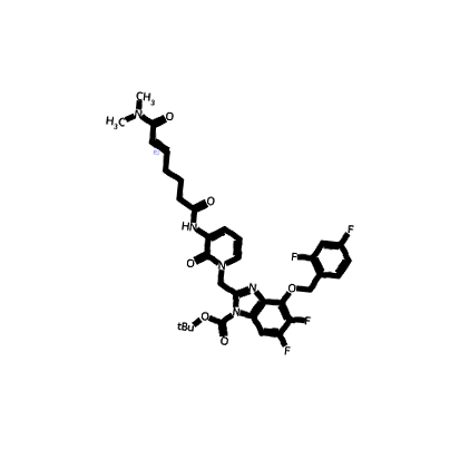 CN(C)C(=O)/C=C/CCCC(=O)Nc1cccn(Cc2nc3c(OCc4ccc(F)cc4F)c(F)c(F)cc3n2C(=O)OC(C)(C)C)c1=O